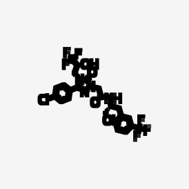 O=C(Cn1nc(-c2ccc(Cl)cc2)n(C[C@H](O)C(F)(F)F)c1=O)N[C@@H](CO)Cc1cccc(C(F)(F)F)c1